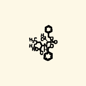 CC[C@@H](NC(CC(C)C)C(=O)O)P(=O)(OCc1ccccc1)OCc1ccccc1